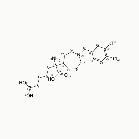 NC(CCCCB(O)O)(C(=O)O)C1CCCN(Cc2ccc(Cl)c(Cl)c2)CC1